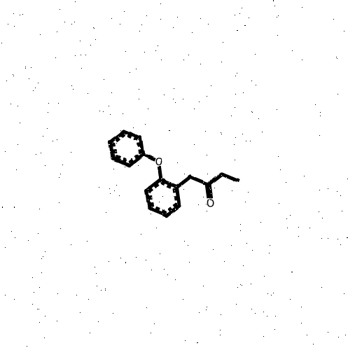 CCC(=O)Cc1ccccc1Oc1ccccc1